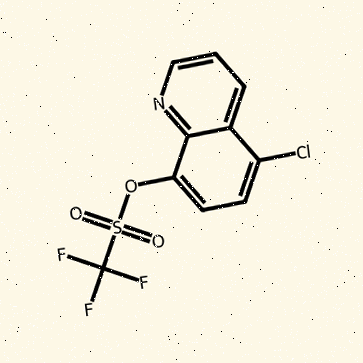 O=S(=O)(Oc1ccc(Cl)c2cccnc12)C(F)(F)F